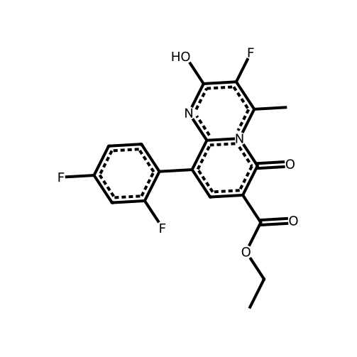 CCOC(=O)c1cc(-c2ccc(F)cc2F)c2nc(O)c(F)c(C)n2c1=O